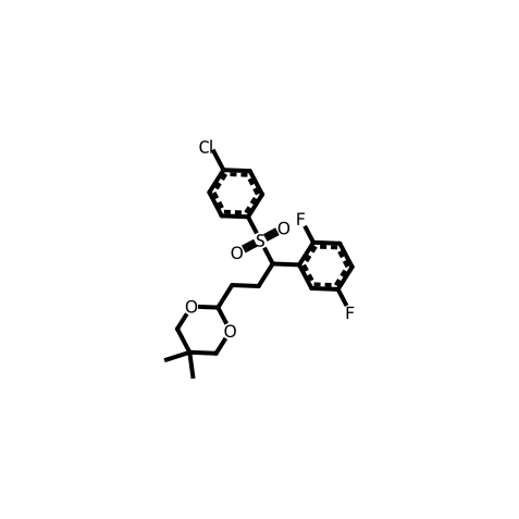 CC1(C)COC(CCC(c2cc(F)ccc2F)S(=O)(=O)c2ccc(Cl)cc2)OC1